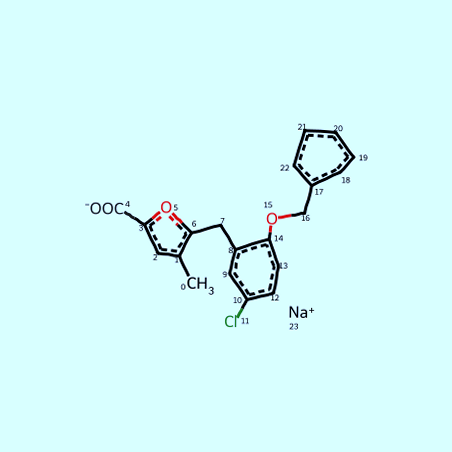 Cc1cc(C(=O)[O-])oc1Cc1cc(Cl)ccc1OCc1ccccc1.[Na+]